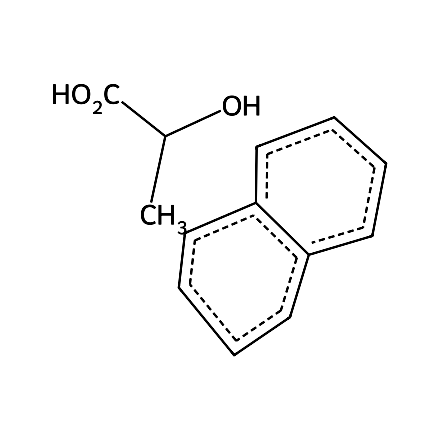 CC(O)C(=O)O.c1ccc2ccccc2c1